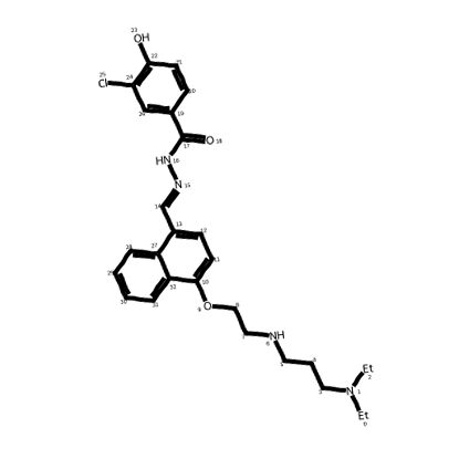 CCN(CC)CCCNCCOc1ccc(/C=N/NC(=O)c2ccc(O)c(Cl)c2)c2ccccc12